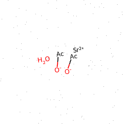 CC(=O)[O-].CC(=O)[O-].O.[Sr+2]